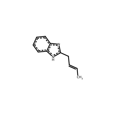 CC=CCc1nc2ccccc2[nH]1